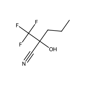 CCCC(O)(C#N)C(F)(F)F